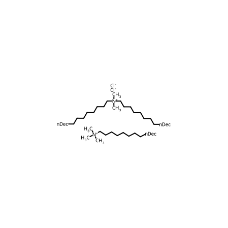 CCCCCCCCCCCCCCCCCC[N+](C)(C)C.CCCCCCCCCCCCCCCCCC[N+](C)(C)CCCCCCCCCCCCCCCCCC.[Cl-].[Cl-]